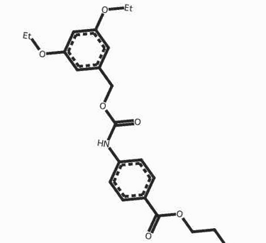 CCOc1cc(COC(=O)Nc2ccc(C(=O)OCCO)cc2)cc(OCC)c1